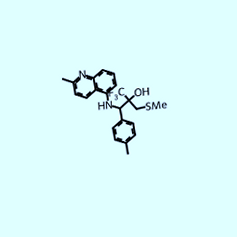 CSCC(O)(C(Nc1cccc2nc(C)ccc12)c1ccc(C)cc1)C(F)(F)F